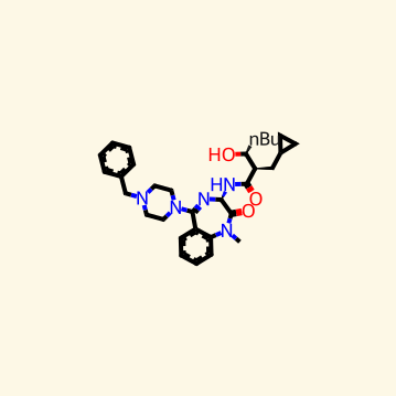 CCCC[C@H](O)[C@@H](CC1CC1)C(=O)N[C@@H]1N=C(N2CCN(Cc3ccccc3)CC2)c2ccccc2N(C)C1=O